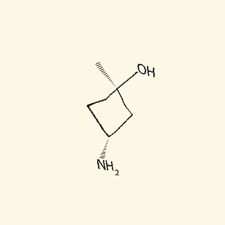 C[C@]1(O)C[C@H](N)C1